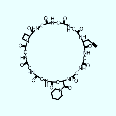 C#CCC1NC(=O)CNC(=O)CNC(=O)CNC(=O)C2CCN2C(=O)CNC(=O)CNC(=O)CNC(=O)CC(C(=O)N2CCCCC2)NC(=O)CNC(=O)CNC1=O